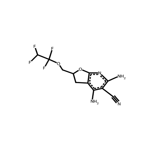 N#Cc1c(N)nc2c(c1N)CC(COC(F)(F)C(F)F)O2